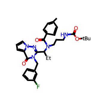 CCC(c1nn2cccc2c(=O)n1Cc1cccc(F)c1)N(CCCNC(=O)OC(C)(C)C)C(=O)c1ccc(C)cc1